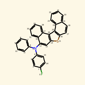 Fc1ccc(N(c2ccccc2)c2cc3sc4ccc5ccccc5c4c3c3ccccc23)cc1